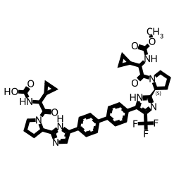 COC(=O)NC(C(=O)N1CCC[C@H]1c1nc(C(F)(F)F)c(-c2ccc(-c3ccc(-c4cnc(C5CCCN5C(=O)C(NC(=O)O)C5CC5)[nH]4)cc3)cc2)[nH]1)C1CC1